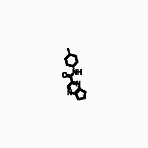 C[C@H]1CC[C@H](NC(=O)c2cnc3c(n2)CCC3)CC1